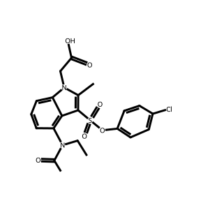 CCN(C(C)=O)c1cccc2c1c(S(=O)(=O)Oc1ccc(Cl)cc1)c(C)n2CC(=O)O